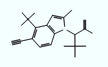 Cc1cc2c(C(F)(F)F)c(C#N)ccc2n1C(C(=O)O)C(C)(C)C